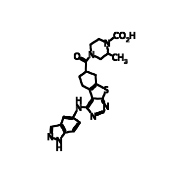 CC1CN(C(=O)C2CCc3c(sc4ncnc(Nc5ccc6[nH]ncc6c5)c34)C2)CCN1C(=O)O